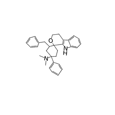 CN(C)C1(c2ccccc2)CCC2(OCCc3c2[nH]c2ccccc32)C(Cc2ccccc2)C1